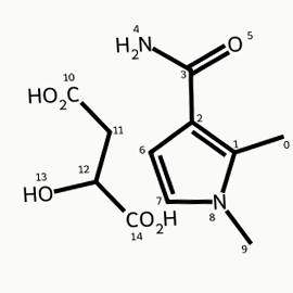 Cc1c(C(N)=O)ccn1C.O=C(O)CC(O)C(=O)O